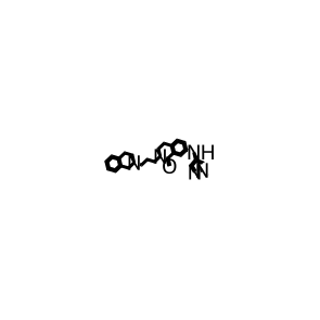 Cn1cc(Nc2ccc3c(c2)C(=O)N(CCCN2CCc4ccccc4C2)CC3)cn1